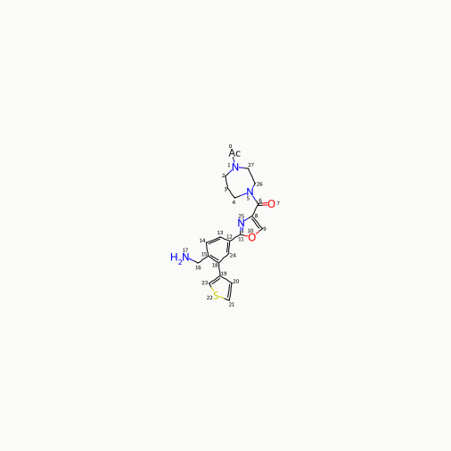 CC(=O)N1CCCN(C(=O)c2coc(-c3ccc(CN)c(-c4ccsc4)c3)n2)CC1